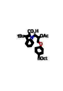 CCCCCCCCc1ccc(OCC(Cn2c(C(=O)O)c(C(C)(C)C)c3ccccc32)OC(C)=O)cc1